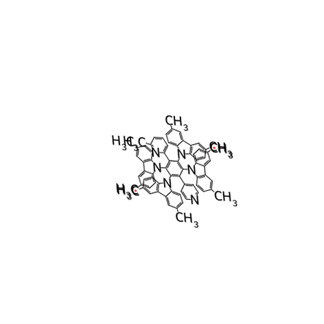 Cc1ccc2c(c1)c1cc(C)ccc1n2-c1c(-c2ccncc2)c(-n2c3ccc(C)cc3c3cc(C)ccc32)c(-n2c3ccc(C)cc3c3cc(C)ccc32)c(-c2cccc(C)n2)c1-n1c2ccc(C)cc2c2cc(C)ccc21